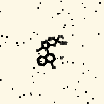 CCc1ccc(-n2c(Br)nnc2SC(C)(C)C(=O)[O-])c2ccccc12.[Li+]